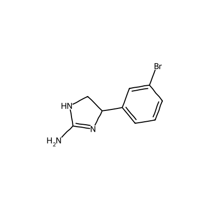 NC1=NC(c2cccc(Br)c2)CN1